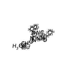 CC(C)(C)[Si](C)(C)OCCCOc1nc2c(c(N3CCN(C(=O)OCc4ccccc4)C(CC#N)C3)n1)CCN(c1cccc3ccccc13)C2